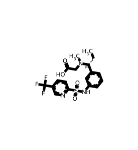 CC[C@H](c1cccc(NS(=O)(=O)c2ccc(C(F)(F)F)cn2)c1)N(C)CC(=O)O